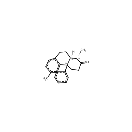 Cc1ncc2c(n1)[C@@]1(c3ccccc3)CCC(=O)[C@@H](C)[C@@H]1CC2